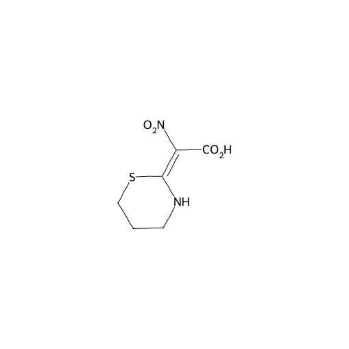 O=C(O)C(=C1NCCCS1)[N+](=O)[O-]